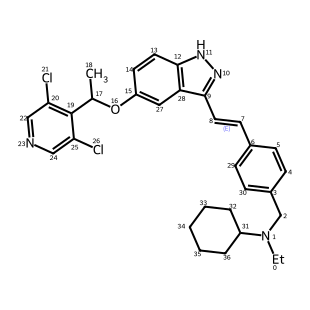 CCN(Cc1ccc(/C=C/c2n[nH]c3ccc(OC(C)c4c(Cl)cncc4Cl)cc23)cc1)C1CCCCC1